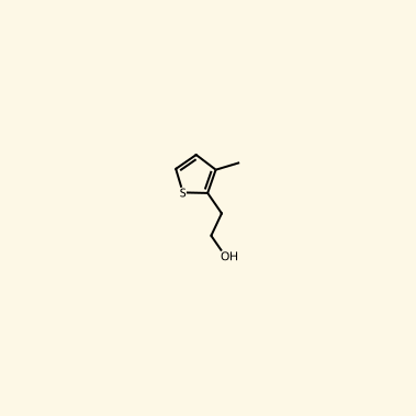 Cc1ccsc1CCO